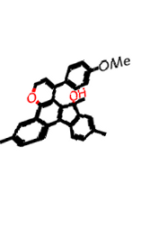 COc1ccc(C2=CCOc3c2c2c(c4ccc(C)cc34)-c3ccc(C)cc3C2(C)O)cc1